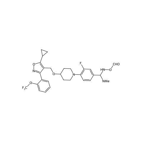 CNC(NOC=O)c1ccc(N2CCC(OCc3c(-c4ccccc4OC(F)(F)F)noc3C3CC3)CC2)c(F)c1